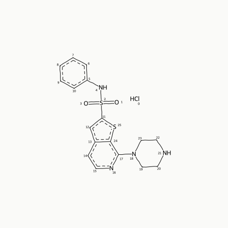 Cl.O=S(=O)(Nc1ccccc1)c1cc2ccnc(N3CCNCC3)c2s1